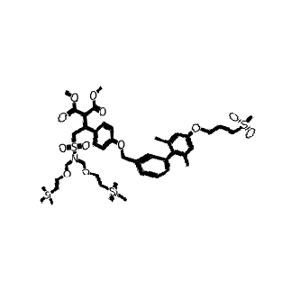 COC(=O)C(C(=O)OC)C(CS(=O)(=O)N(COCC[Si](C)(C)C)COCC[Si](C)(C)C)c1ccc(OCc2cccc(-c3c(C)cc(OCCCS(C)(=O)=O)cc3C)c2)cc1